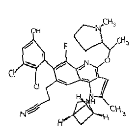 Cc1cc2c(OC(C)C3CCCN3C)nc3c(F)c(-c4cc(O)cc(Cl)c4Cl)c(CCC#N)cc3c2n1[C@H]1[C@H]2CN[C@@H]1C2